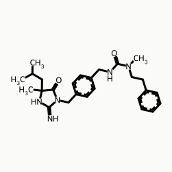 CC(C)CC1(C)NC(=N)N(Cc2ccc(CNC(=O)N(C)CCc3ccccc3)cc2)C1=O